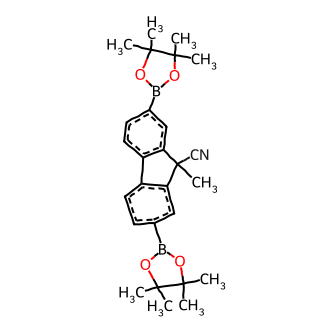 CC1(C#N)c2cc(B3OC(C)(C)C(C)(C)O3)ccc2-c2ccc(B3OC(C)(C)C(C)(C)O3)cc21